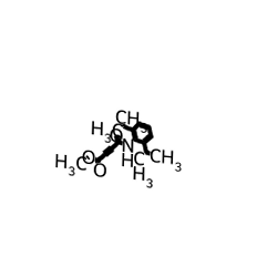 COC(=O)C#CC(=O)Nc1c(C(C)C)cccc1C(C)C